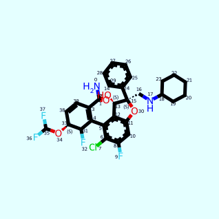 NC(=O)C1=C(c2c(Cl)c(F)cc3c2[C@H](O)[C@@](CNC2CCCCC2)(c2ccccc2)O3)C(F)[C@@H](OC(F)F)C=C1